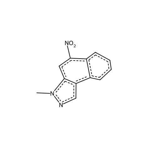 Cn1ncc2c3ccccc3c([N+](=O)[O-])cc21